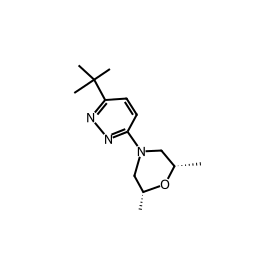 C[C@@H]1CN(c2ccc(C(C)(C)C)nn2)C[C@H](C)O1